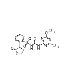 COc1nc(C)nc(NC(=O)NS(=O)(=O)c2cccnc2C2CCOC2=O)n1